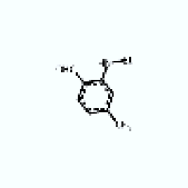 CCNc1cc(C(F)(F)F)ccc1C=O